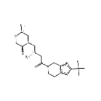 C[C@H]1CN(C[C@@H](N)CC(=O)N2CCc3sc(C(F)(F)F)nc3C2)C(=O)CO1